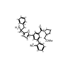 COCC1CCCN1C(=O)c1cc(-c2nnc(C(C)(N)Cc3ccccc3)o2)cc(-c2ccccc2C#N)c1